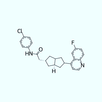 O=C(C[C@@H]1CC2CC(c3ccnc4ccc(F)cc34)C[C@H]2C1)Nc1ccc(Cl)cc1